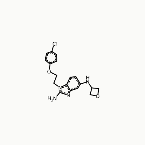 Nc1nc2cc(NC3COC3)ccc2n1CCOc1ccc(Cl)cc1